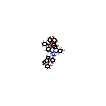 c1ccc([Si](c2ccccc2)(c2ccccc2)c2cccc(-c3nc(-c4ccc5c(c4)C4(c6ccccc6O5)c5ccccc5-c5ccccc54)nc(-c4ccccc4-c4ccc5oc6ccccc6c5c4)n3)c2)cc1